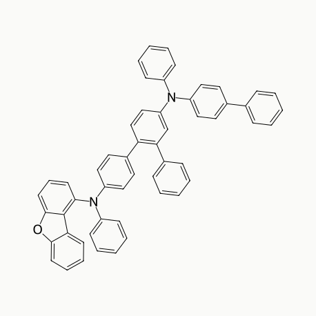 c1ccc(-c2ccc(N(c3ccccc3)c3ccc(-c4ccc(N(c5ccccc5)c5cccc6oc7ccccc7c56)cc4)c(-c4ccccc4)c3)cc2)cc1